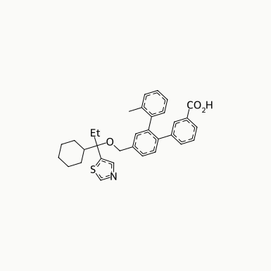 CCC(OCc1ccc(-c2cccc(C(=O)O)c2)c(-c2ccccc2C)c1)(c1cncs1)C1CCCCC1